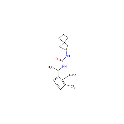 COc1c(C(C)NC(=O)NC2CC3(CCC3)C2)cccc1C(F)(F)F